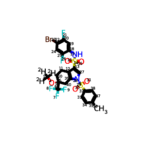 [2H]C([2H])([2H])O[C@]1(C(F)(F)F)CCc2c(S(=O)(=O)Nc3cc(F)c(Br)cc3F)cn(S(=O)(=O)c3ccc(C)cc3)c2C1